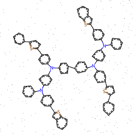 c1ccc(-c2ccc(-c3ccc(N(c4ccc(-c5ccc(N(c6ccc(-c7ccc(-c8ccccc8)s7)cc6)c6ccc(N(c7ccccc7)c7ccc(-c8cc9ccccc9s8)cc7)cc6)cc5)cc4)c4ccc(N(c5ccccc5)c5ccc(-c6cc7ccccc7s6)cc5)cc4)cc3)s2)cc1